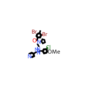 COc1ccc(-c2nc(-c3ccncc3)nn2CCN(C(=O)c2cc(Br)c(C)c(Br)c2)C2CCCC2)cc1Cl